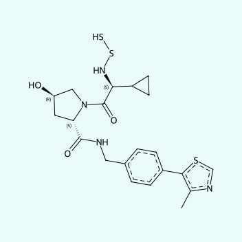 Cc1ncsc1-c1ccc(CNC(=O)[C@@H]2C[C@@H](O)CN2C(=O)[C@@H](NSS)C2CC2)cc1